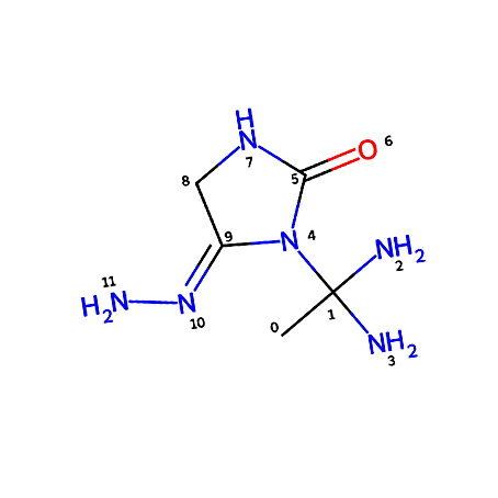 CC(N)(N)N1C(=O)NCC1=NN